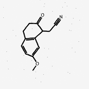 COc1ccc2c(c1)C(CC#N)C(=O)CC2